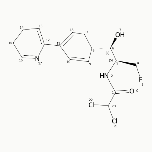 O=C(N[C@H](CF)[C@H](O)C1C=CC(C2=CCCC=N2)=CC1)C(Cl)Cl